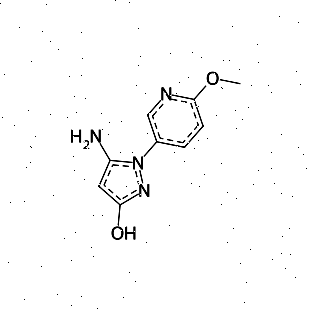 COc1ccc(-n2nc(O)cc2N)cn1